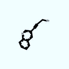 CC(C)CC#Cc1cnc2ccccc2c1